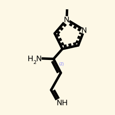 Cn1cc(/C(N)=C/C=N)cn1